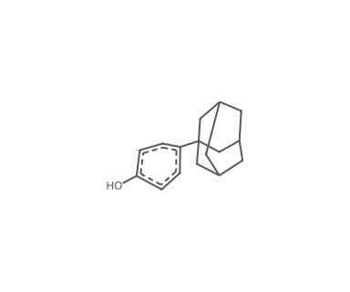 Oc1[c]cc(C23CC4CC(CC(C4)C2)C3)cc1